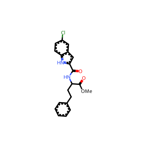 COC(=O)C(CCc1ccccc1)NC(=O)c1cc2cc(Cl)ccc2[nH]1